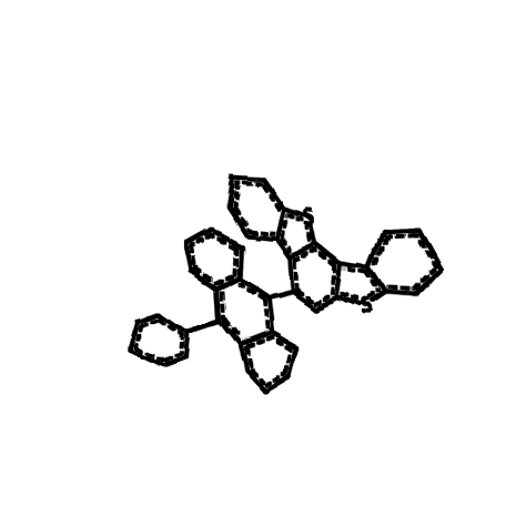 c1ccc(-c2c3ccccc3c(-c3cc4sc5ccccc5c4c4sc5ccccc5c34)c3ccccc23)cc1